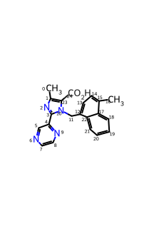 Cc1nc(-c2cnccn2)n(Cc2ccc(C)c3ccccc23)c1C(=O)O